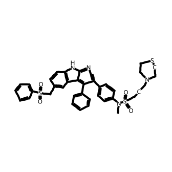 CN(c1ccc(-c2cnc3[nH]c4ccc(CS(=O)(=O)c5ccccc5)cc4c3c2-c2ccccc2)cc1)S(=O)(=O)CCCN1CCSCC1